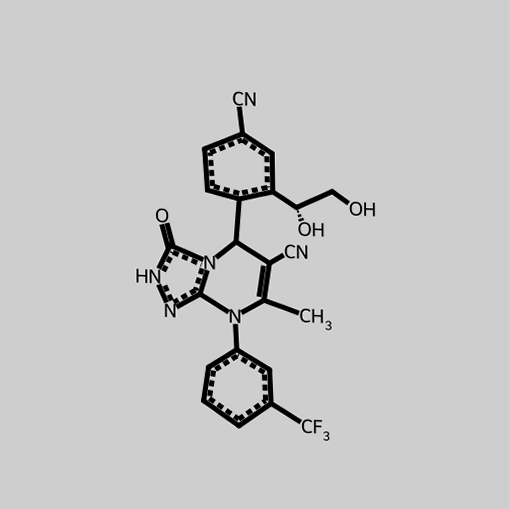 CC1=C(C#N)C(c2ccc(C#N)cc2[C@@H](O)CO)n2c(n[nH]c2=O)N1c1cccc(C(F)(F)F)c1